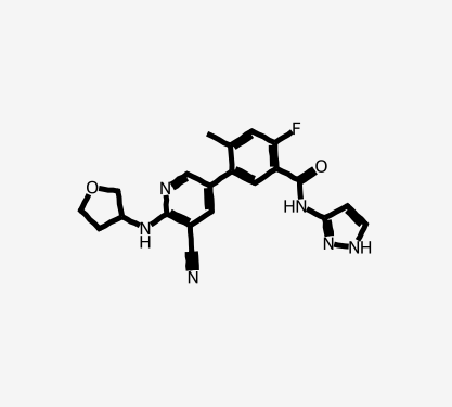 Cc1cc(F)c(C(=O)Nc2cc[nH]n2)cc1-c1cnc(NC2CCOC2)c(C#N)c1